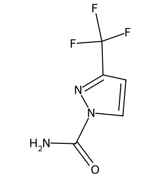 NC(=O)n1ccc(C(F)(F)F)n1